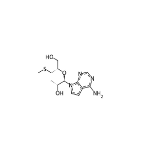 CSC[C@H](CO)O[C@H]([C@@H](C)O)n1ccc2c(N)ncnc21